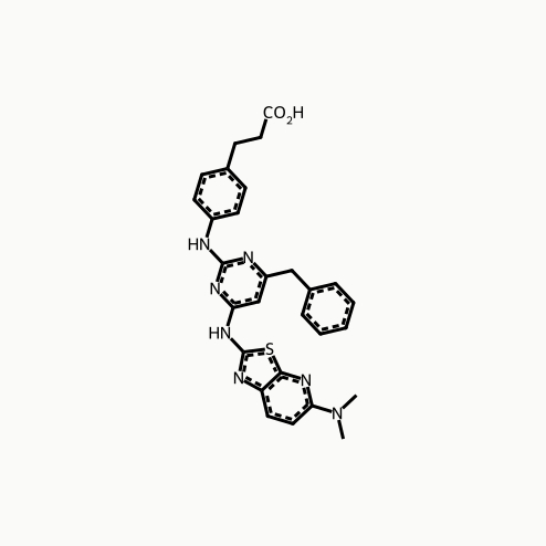 CN(C)c1ccc2nc(Nc3cc(Cc4ccccc4)nc(Nc4ccc(CCC(=O)O)cc4)n3)sc2n1